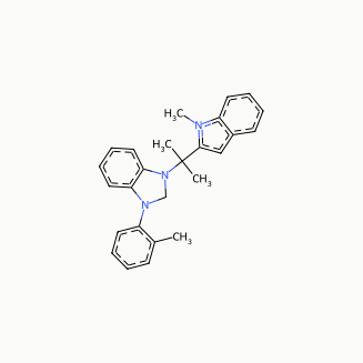 Cc1ccccc1N1CN(C(C)(C)c2cc3ccccc3n2C)c2ccccc21